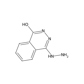 NNc1nnc(O)c2ccccc12